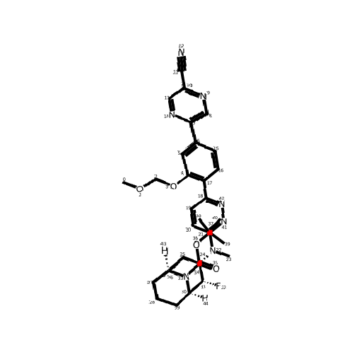 COCOc1cc(-c2cnc(C#N)cn2)ccc1-c1ccc(N(C)[C@H]2C[C@@H]3CCC[C@H]([C@H]2F)N3C(=O)OC(C)(C)C)nn1